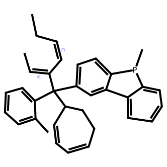 C/C=C(\C=C/CC)C(c1ccc2c(c1)c1ccccc1p2C)(c1ccccc1C)C1C=CC=CCC1